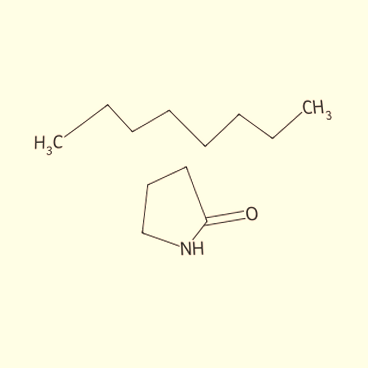 CCCCCCCC.O=C1CCCN1